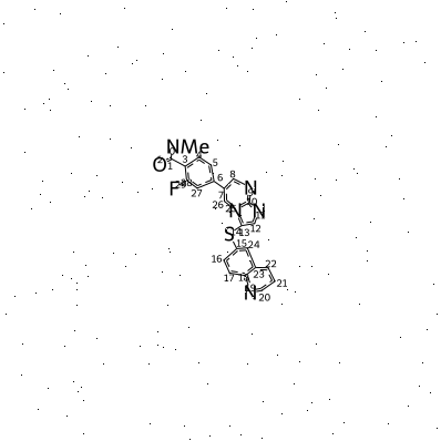 CNC(=O)c1ccc(-c2cnc3ncc(Sc4ccc5ncccc5c4)n3c2)cc1F